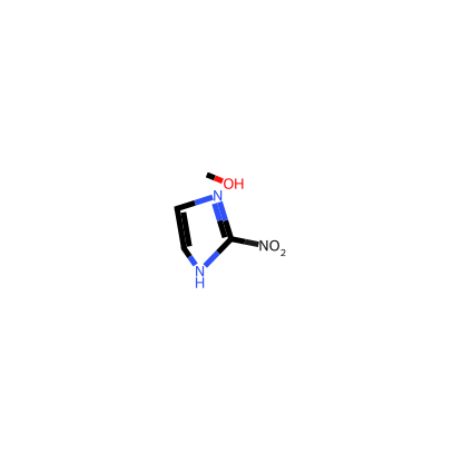 CO.O=[N+]([O-])c1ncc[nH]1